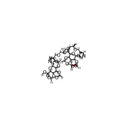 C=C(CCCCCOCc1cn(C2OC(C(=O)OC)C(OC(C)=O)C(OC(C)=O)C2OC(C)=O)nn1)OCc1cnnn1C1OC(C(=O)OC)C(OC(C)=O)C(OC(C)=O)C1OC(C)=O